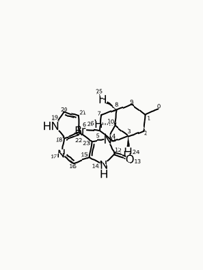 CC1C[C@@H]2CC(Br)C[C@H](C1)[C@@H]2n1c(=O)[nH]c2cnc3[nH]ccc3c21